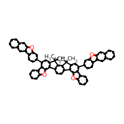 CC1(C)c2cc(-c3ccc4c(c3)oc3cc5ccccc5cc34)c3c(oc4ccccc43)c2-c2ccc3c(c21)C(C)(C)c1cc(-c2ccc4c(c2)oc2cc5ccccc5cc24)c2c(oc4ccccc42)c1-3